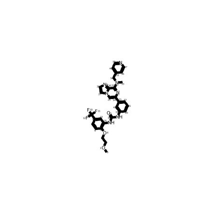 COCCOc1ccc(C(F)(F)F)cc1NC(=O)Nc1cccc(-c2cn3ccnc3c(N(C)Cc3ccncc3)n2)c1